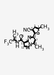 Cc1cc(C#N)c(-c2cc(C)n3ncc(C(=O)N[C@@H](C)C(F)(F)F)c3n2)s1